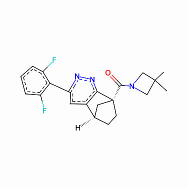 CC1(C)CN(C(=O)[C@]23CC[C@H](C2)c2cc(-c4c(F)cccc4F)nnc23)C1